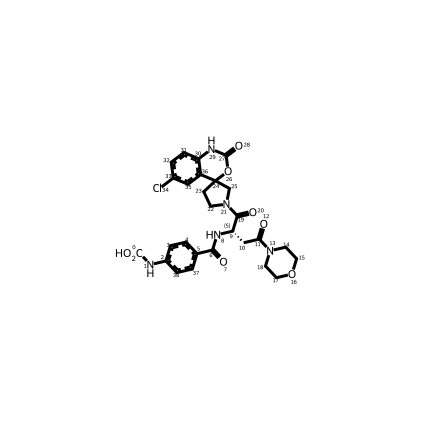 O=C(O)Nc1ccc(C(=O)N[C@@H](CC(=O)N2CCOCC2)C(=O)N2CCC3(C2)OC(=O)Nc2ccc(Cl)cc23)cc1